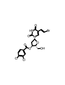 O=C(O[C@H]1C[C@H](n2cc(/C=C/Br)c(=O)[nH]c2=O)O[C@@H]1CO)c1ccc(Cl)c(Cl)c1